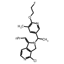 CCC/C=C1\c2ccnc(Cl)c2CN1C(C)c1cnc(OCCF)c(C)c1